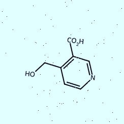 O=C(O)c1cnccc1CO